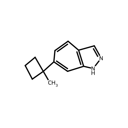 CC1(c2ccc3cn[nH]c3c2)CCC1